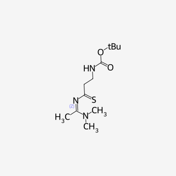 C/C(=N/C(=S)CCNC(=O)OC(C)(C)C)N(C)C